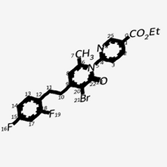 CCOC(=O)c1ccc(-n2c(C)cc(CCc3ccc(F)cc3F)c(Br)c2=O)nc1